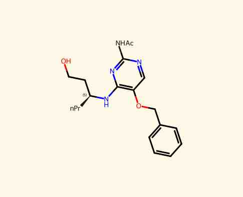 CCC[C@@H](CCO)Nc1nc(NC(C)=O)ncc1OCc1ccccc1